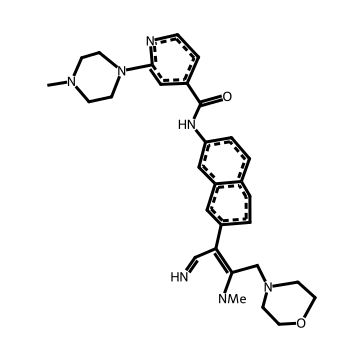 CN/C(CN1CCOCC1)=C(\C=N)c1ccc2ccc(NC(=O)c3ccnc(N4CCN(C)CC4)c3)cc2c1